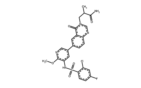 COc1ncc(-c2ccc3ncn(CC(C)C(N)=O)c(=O)c3c2)cc1NS(=O)(=O)c1ccc(F)cc1Cl